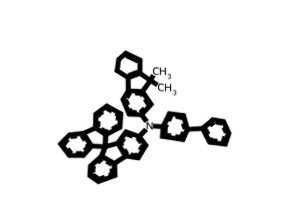 CC1(C)C2=C(CCC=C2)c2ccc(N(c3ccc(-c4ccccc4)cc3)c3ccc4c(c3)C3(c5ccccc5-c5ccccc53)c3ccccc3-4)cc21